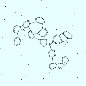 CC1(C)c2ccccc2-c2ccc(N(c3ccc(-c4cccc5c4-c4ccccc4-c4ccccc4-c4ccc6c(oc7c(-c8ccccc8)cccc76)c4-5)cc3)c3ccc(-c4cccc5oc6ccccc6c45)cc3)cc21